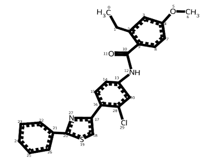 CCc1cc(OC)ccc1C(=O)Nc1ccc(-c2csc(-c3ccccc3)n2)c(Cl)c1